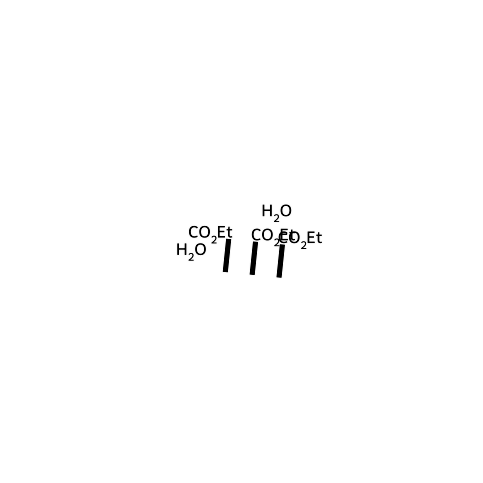 CCOC(C)=O.CCOC(C)=O.CCOC(C)=O.O.O